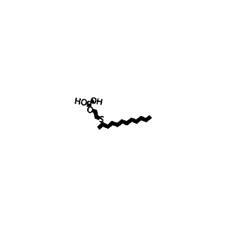 CCCCCCCCCCC(C)SCCOP(O)O